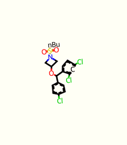 CCCCS(=O)(=O)N1CC(OC(c2ccc(Cl)cc2)c2ccc(Cl)cc2Cl)C1